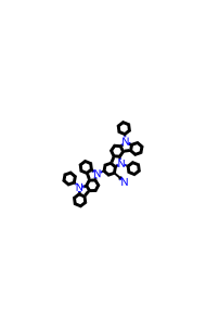 N#Cc1cc(-n2c3ccccc3c3c2ccc2c4ccccc4n(-c4ccccc4)c23)cc2c3ccc4c(c5ccccc5n4-c4ccccc4)c3n(-c3ccccc3)c12